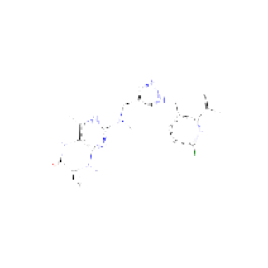 C=C(C)c1nc(F)ccc1Cn1cc(CN(C)c2nc(C)c3c(n2)N(C)[C@@H](C(C)C)C(=O)N3)cn1